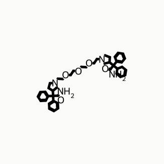 NC(=O)C(c1ccccc1)(c1ccccc1)C1CCN(CCOCCOCCOCCN2CCC(C(C(N)=O)(c3ccccc3)C3C=CC=CC3)C2)C1